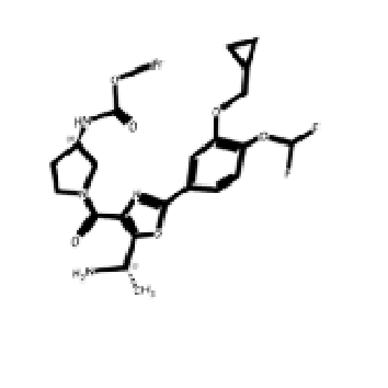 CC(C)OC(=O)N[C@@H]1CCN(C(=O)c2nc(-c3ccc(OC(F)F)c(OCC4CC4)c3)oc2[C@H](C)N)C1